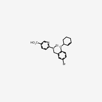 CCN(Cc1cc(Br)ccc1OC1C=CCCC1)c1ccc(C(=O)O)cn1